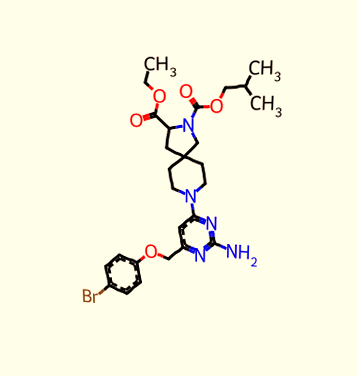 CCOC(=O)C1CC2(CCN(c3cc(COc4ccc(Br)cc4)nc(N)n3)CC2)CN1C(=O)OCC(C)C